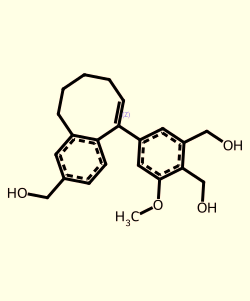 COc1cc(/C2=C/CCCCc3cc(CO)ccc32)cc(CO)c1CO